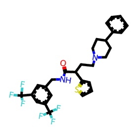 O=C(NCc1cc(C(F)(F)F)cc(C(F)(F)F)c1)C(CCN1CCC(c2ccccc2)CC1)c1cccs1